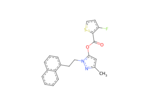 Cc1cc(OC(=O)c2sccc2F)n(CCc2cccc3ccccc23)n1